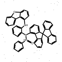 O=[PH](c1ccccc1)N(c1ccccc1Nc1cccc2oc3ccccc3c12)c1cccc2c1-c1ccccc1C21c2ccccc2-c2ccccc21